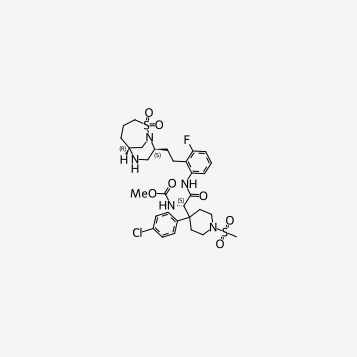 COC(=O)N[C@H](C(=O)Nc1cccc(F)c1CC[C@H]1CN[C@@H]2CCCS(=O)(=O)N1C2)C1(c2ccc(Cl)cc2)CCN(S(C)(=O)=O)CC1